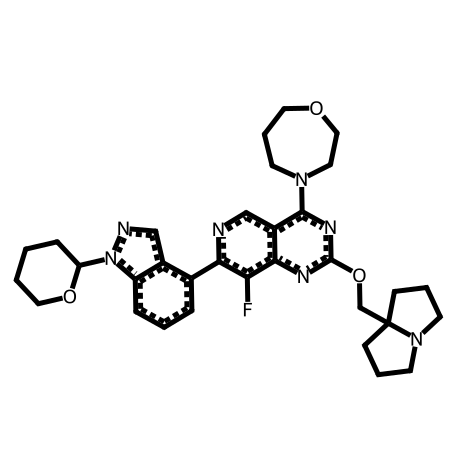 Fc1c(-c2cccc3c2cnn3C2CCCCO2)ncc2c(N3CCCOCC3)nc(OCC34CCCN3CCC4)nc12